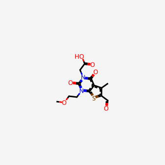 COCCn1c(=O)n(CC(=O)O)c(=O)c2c(C)c(C=O)sc21